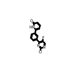 O=c1cccc(-c2cccc(-c3nc(Cl)ncc3F)c2)[nH]1